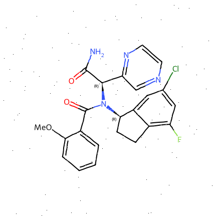 COc1ccccc1C(=O)N([C@@H]1CCc2c(F)cc(Cl)cc21)[C@@H](C(N)=O)c1cnccn1